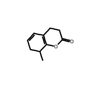 CC1CC=CC2=C1OC(=O)CC2